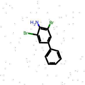 Nc1c(Br)cc(-c2ccccc2)cc1Br